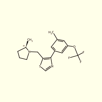 Cc1cc(OC(F)(F)F)cc(-c2ncsc2CN2CCC[C@H]2C)c1